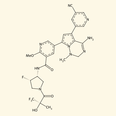 COc1ncc(-c2cc(-c3cncc(C#N)c3)c3n2N(C)CN=C3N)cc1C(=O)N[C@@H]1CN(C(=O)[C@@](C)(O)C(F)(F)F)C[C@@H]1F